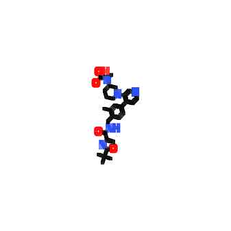 Cc1cc(-c2ccncc2N2CCCC(N(C)C(=O)O)C2)ccc1CNC(=O)c1coc(C(C)(C)C)n1